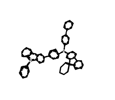 c1ccc(-c2ccc(N(c3ccc(-c4ccc5c(c4)c4ccccc4n5-c4ccccc4)cc3)c3ccc4c(c3)C3(CCCCC3)c3ccccc3-4)cc2)cc1